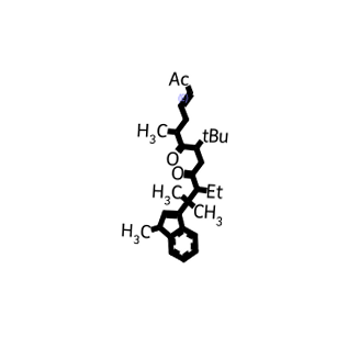 CCC(C(=O)CC(C(=O)C(C)C/C=C/C(C)=O)C(C)(C)C)C(C)(C)C1=CC(C)c2ccccc21